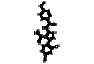 COc1ccc(C(=O)Nc2scc(-c3ccc(Cl)cc3Cl)c2C(=O)O)cc1